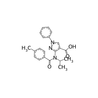 Cc1ccc(C(=O)N(c2nn(-c3ccccc3)cc2C(=O)O)C(C)C)cc1